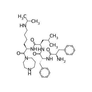 CC(C)C[C@@H](NC(=O)[C@@H](Cc1ccccc1)NC(=O)[C@H](N)Cc1ccccc1)C(=O)N[C@H](CCCCNC(C)C)C(=O)N1CCCNCC1